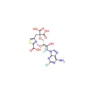 CO[C@H](COC(Cc1csc(C(=O)O)n1)(C(=O)O)C(=O)O)[C@@H](O)[C@H](F)n1cnc2c(N)nc(Cl)nc21